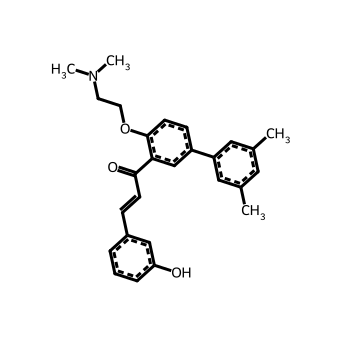 Cc1cc(C)cc(-c2ccc(OCCN(C)C)c(C(=O)C=Cc3cccc(O)c3)c2)c1